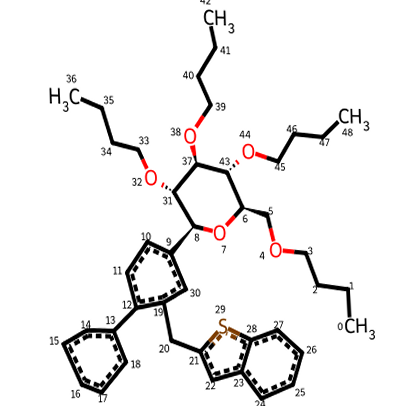 CCCCOC[C@H]1O[C@@H](c2ccc(-c3ccccc3)c(Cc3cc4ccccc4s3)c2)[C@H](OCCCC)[C@@H](OCCCC)[C@@H]1OCCCC